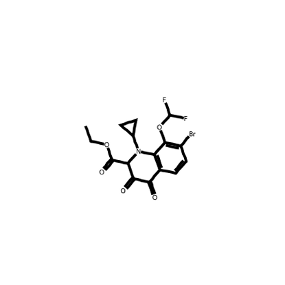 CCOC(=O)C1C(=O)C(=O)c2ccc(Br)c(OC(F)F)c2N1C1CC1